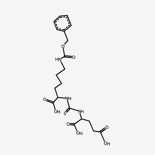 O=C(O)CCC(NC(=S)NC(CCCCNC(=O)OCc1ccccc1)C(=O)O)C(=O)O